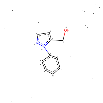 OCc1ccnn1-c1ccccc1